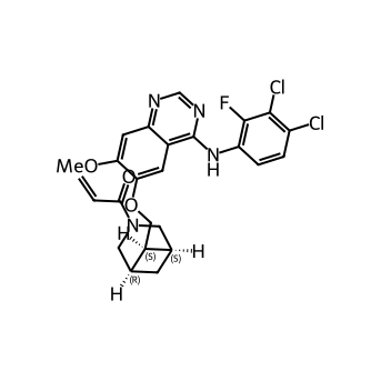 C=CC(=O)N1C[C@H]2C[C@@H](C1)[C@H]2COc1cc2c(Nc3ccc(Cl)c(Cl)c3F)ncnc2cc1OC